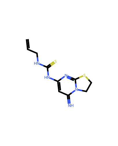 C=CCNC(=S)Nc1cc(=N)n2c(n1)SCC2